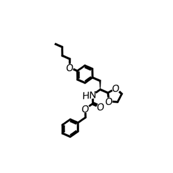 CCCCOc1ccc(C[C@H](NC(=O)OCc2ccccc2)C2OCCO2)cc1